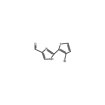 O=Cc1c[nH]c(-c2sccc2Br)n1